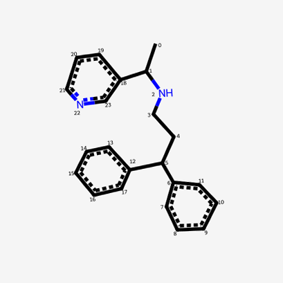 CC(NCCC(c1ccccc1)c1ccccc1)c1cccnc1